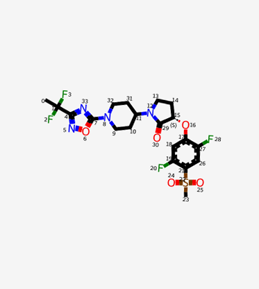 CC(F)(F)c1noc(N2CCC(N3CC[C@H](Oc4cc(F)c(S(C)(=O)=O)cc4F)C3=O)CC2)n1